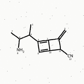 C=C1C2=C(C(C)C(C)N)C=C2C1C#N